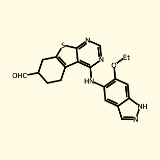 CCOc1cc2[nH]ncc2cc1Nc1ncnc2sc3c(c12)CCC(C=O)C3